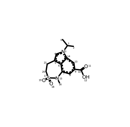 CC(C)n1cc2c3c(cc(C(=O)O)cc31)N(C)S(=O)(=O)CC2